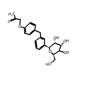 CC(=O)COc1ccc(Cc2cccc([C@@H]3O[C@H](CO)C(O)[C@H](O)[C@H]3O)c2)cc1